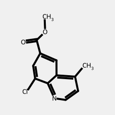 COC(=O)c1cc(Cl)c2nccc(C)c2c1